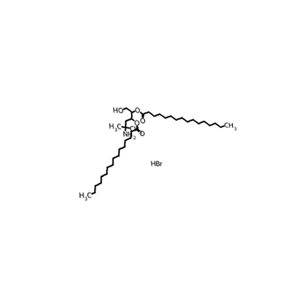 Br.CCCCCCCCCCCCCCCC(=O)OC(CO)C(CC(C)(C)N)OC(=O)CCCCCCCCCCCCCCC